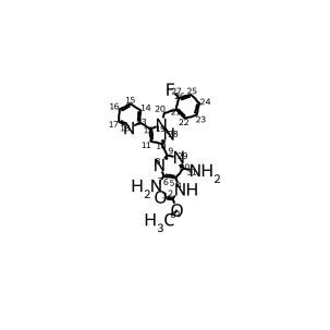 COC(=O)Nc1c(N)nc(-c2cc(-c3ccccn3)n(Cc3ccccc3F)n2)nc1N